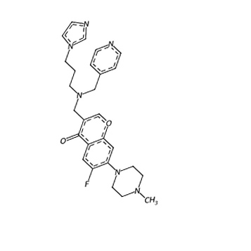 CN1CCN(c2cc3occ(CN(CCCn4ccnc4)Cc4ccncc4)c(=O)c3cc2F)CC1